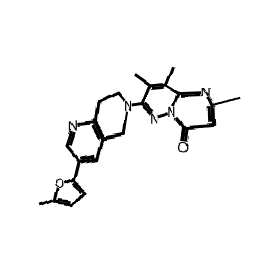 Cc1cc(=O)n2nc(N3CCc4ncc(-c5ccc(C)o5)cc4C3)c(C)c(C)c2n1